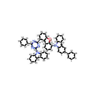 c1ccc(-c2ccc3c(c2)c2ccccc2n3-c2cccc3c2oc2cccc(-c4nc(-c5ccccc5)nc(-n5c6ccccc6c6ccccc65)n4)c23)cc1